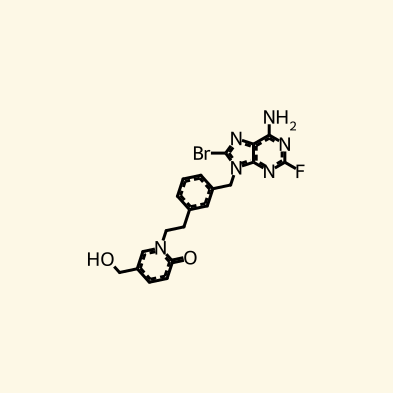 Nc1nc(F)nc2c1nc(Br)n2Cc1cccc(CCn2cc(CO)ccc2=O)c1